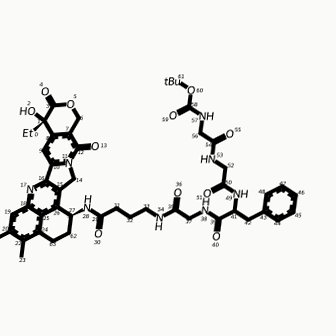 CC[C@@]1(O)C(=O)OCc2c1cc1n(c2=O)Cc2c-1nc1cc(F)c(C)c3c1c2[C@@H](NC(=O)CCCNC(=O)CNC(=O)C(Cc1ccccc1)NC(=O)CNC(=O)CNC(=O)OC(C)(C)C)CC3